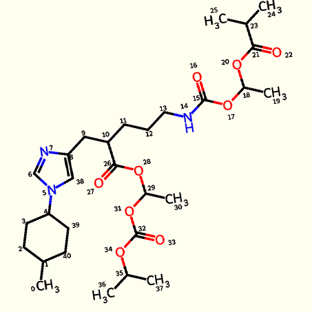 CC1CCC(n2cnc(CC(CCCNC(=O)OC(C)OC(=O)C(C)C)C(=O)OC(C)OC(=O)OC(C)C)c2)CC1